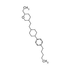 CCCCCc1ccc(C2CCC(CCC3CCC(CC)OC3)CC2)cc1